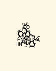 CN(C)C(=O)c1cccc(CN2C(=N)N[C@@](c3ccccc3)(c3cccc(-c4ccco4)c3)C2=O)c1